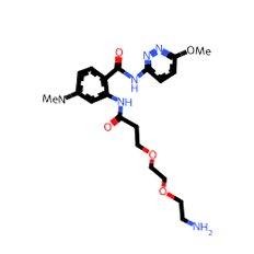 CNc1ccc(C(=O)Nc2ccc(OC)nn2)c(NC(=O)CCOCCOCCN)c1